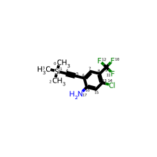 C[Si](C)(C)C#Cc1cc(C(F)(F)F)c(Cl)cc1N